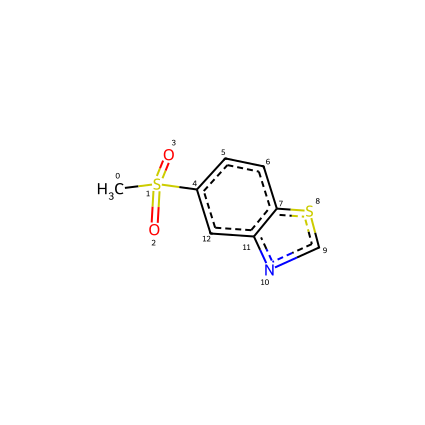 CS(=O)(=O)c1ccc2scnc2c1